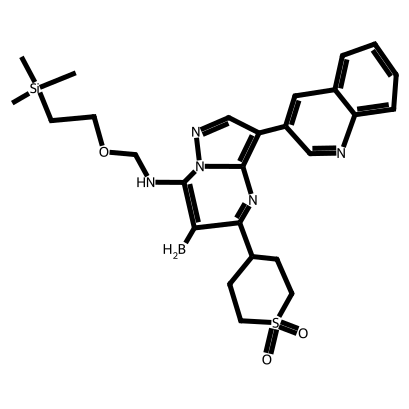 Bc1c(C2CCS(=O)(=O)CC2)nc2c(-c3cnc4ccccc4c3)cnn2c1NCOCC[Si](C)(C)C